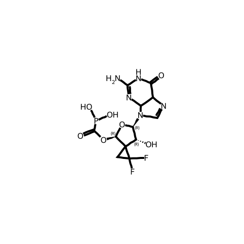 NC1=NC2C(N=CN2[C@@H]2O[C@H](OC(=O)P(O)O)C3(CC3(F)F)[C@H]2O)C(=O)N1